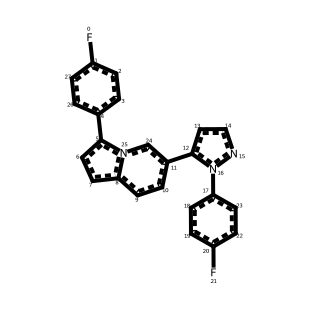 Fc1ccc(-c2ccc3ccc(-c4ccnn4-c4ccc(F)cc4)cn23)cc1